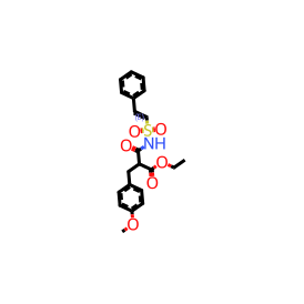 CCOC(=O)C(Cc1ccc(OC)cc1)C(=O)NS(=O)(=O)/C=C/c1ccccc1